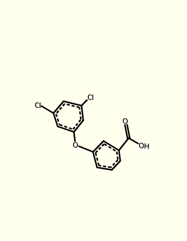 O=C(O)c1cccc(Oc2cc(Cl)cc(Cl)c2)c1